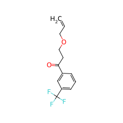 C=CCOCCC(=O)c1cccc(C(F)(F)F)c1